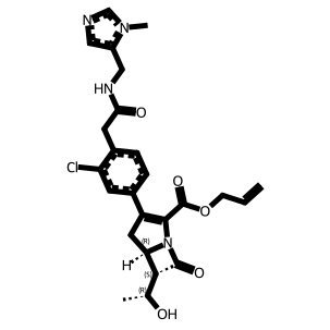 C=CCOC(=O)C1=C(c2ccc(CC(=O)NCc3cncn3C)c(Cl)c2)C[C@@H]2[C@@H]([C@@H](C)O)C(=O)N12